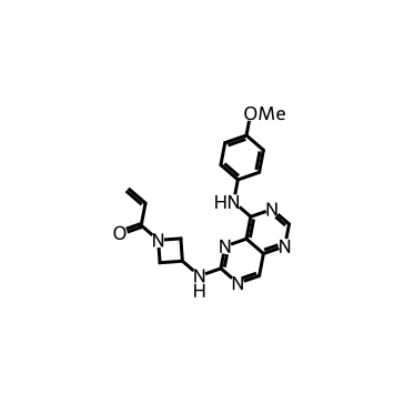 C=CC(=O)N1CC(Nc2ncc3ncnc(Nc4ccc(OC)cc4)c3n2)C1